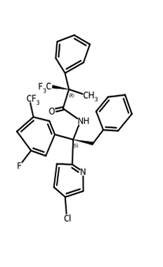 C[C@](C(=O)N[C@@](Cc1ccccc1)(c1cc(F)cc(C(F)(F)F)c1)c1ccc(Cl)cn1)(c1ccccc1)C(F)(F)F